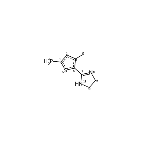 Cc1cc(P)sc1C1=NCCN1